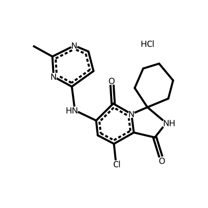 Cc1nccc(Nc2cc(Cl)c3n(c2=O)C2(CCCCC2)NC3=O)n1.Cl